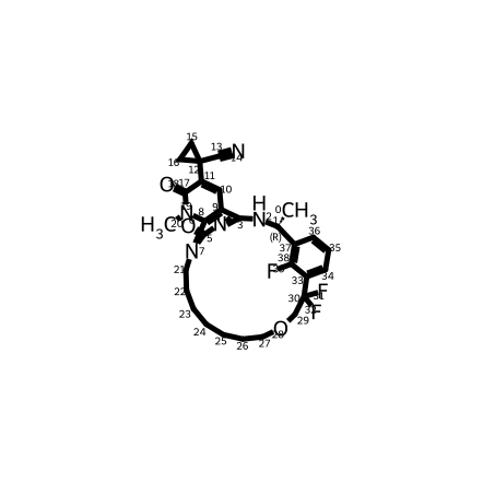 C[C@H]1Nc2nc(=O)n(c3c2cc(C2(C#N)CC2)c(=O)n3C)CCCCCCCOCC(F)(F)c2cccc1c2F